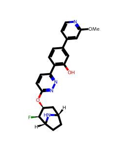 COc1cc(-c2ccc(-c3ccc(O[C@H]4C[C@@H]5CC[C@@H](N5)[C@H]4F)nn3)c(O)c2)ccn1